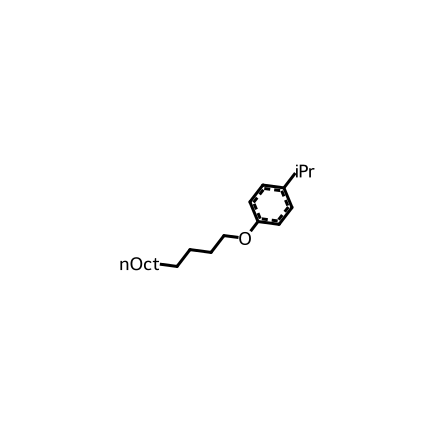 CCCCCCCCCCCCOc1ccc(C(C)C)cc1